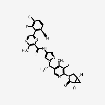 Cc1ncc(-c2c(C#N)ccc(Cl)c2F)nc1C(=O)Nc1cnn([C@@H](C)c2cnc(N3C[C@H]4C[C@H]4C3=O)c(F)c2C)c1